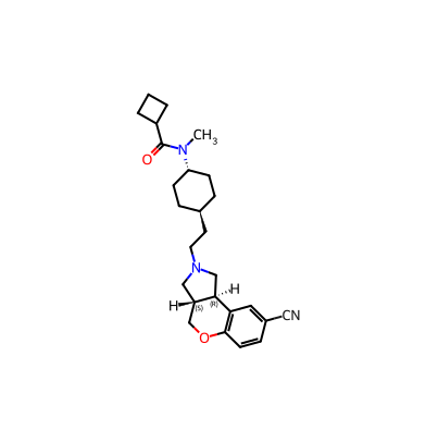 CN(C(=O)C1CCC1)[C@H]1CC[C@H](CCN2C[C@H]3COc4ccc(C#N)cc4[C@@H]3C2)CC1